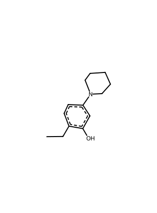 CCc1ccc(N2CCCCC2)cc1O